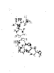 COc1ccc(-n2cnc3c2C(=O)CC(c2ccc(-n4ccnc4CN(C)C)cc2)NC3)cc1